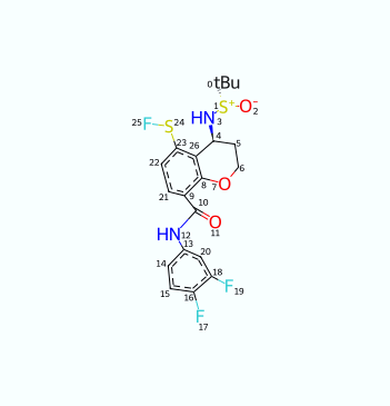 CC(C)(C)[S@+]([O-])N[C@H]1CCOc2c(C(=O)Nc3ccc(F)c(F)c3)ccc(SF)c21